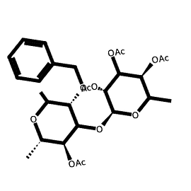 CC(=O)OC1[C@@H](OC(C)=O)C(C)O[C@@H](OC2[C@@H](OCc3ccccc3)C(C)O[C@@H](C)[C@@H]2OC(C)=O)[C@@H]1OC(C)=O